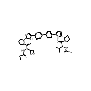 COC(=O)N[C@@H](C(=O)N1CCC[C@H]1c1ncc(-c2ccc(-c3ccc(-c4cnc([C@@H]5CCCN5C(=O)[C@@H](NC(=O)O)C(C)C)[nH]4)cc3)cc2)[nH]1)C1COC1